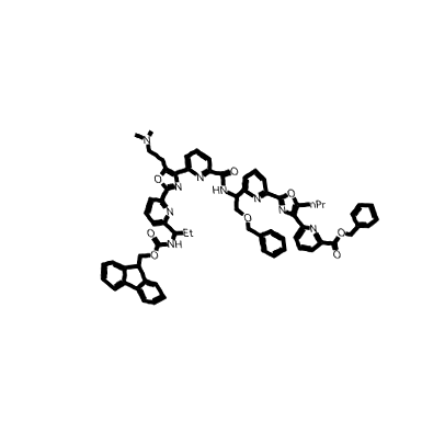 CCCc1oc(-c2cccc(C(COCc3ccccc3)NC(=O)c3cccc(-c4nc(-c5cccc(C(CC)NC(=O)OCC6c7ccccc7-c7ccccc76)n5)oc4CCN(C)C)n3)n2)nc1-c1cccc(C(=O)OCc2ccccc2)n1